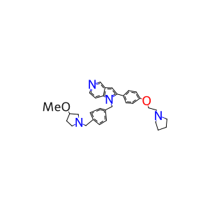 COC1CCN(Cc2ccc(Cn3c(-c4ccc(OCCN5CCCC5)cc4)cc4cnccc43)cc2)C1